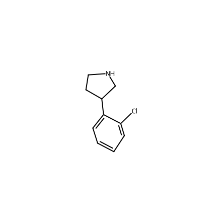 Clc1ccccc1C1CCNC1